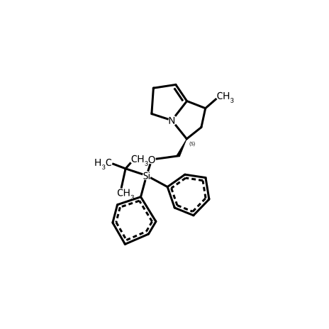 CC1C[C@@H](CO[Si](c2ccccc2)(c2ccccc2)C(C)(C)C)N2CCC=C12